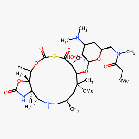 CC[C@H]1OC(=O)SC(=O)[C@H](C)[C@@H](O[C@@H]2O[C@H](CN(C)C(=O)CNC)CC(N(C)C)[C@H]2O)[C@](C)(OC)C[C@@H](C)CN[C@H](C)[C@H]2NC(=O)O[C@@]21C